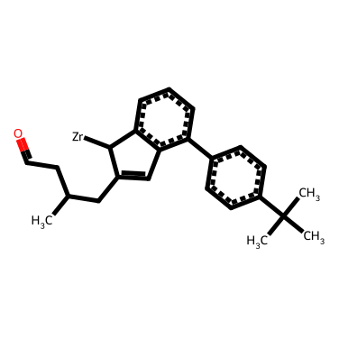 CC(CC=O)CC1=Cc2c(-c3ccc(C(C)(C)C)cc3)cccc2[CH]1[Zr]